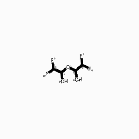 OC(OC(O)C(F)F)C(F)F